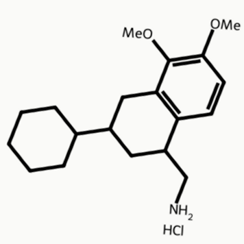 COc1ccc2c(c1OC)CC(C1CCCCC1)CC2CN.Cl